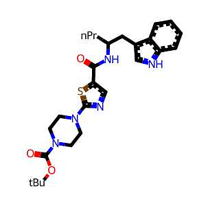 CCCC(Cc1c[nH]c2ccccc12)NC(=O)c1cnc(N2CCN(C(=O)OC(C)(C)C)CC2)s1